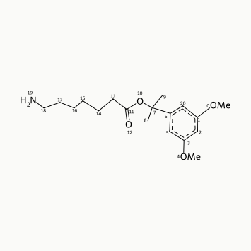 COc1cc(OC)cc(C(C)(C)OC(=O)CCCCCCN)c1